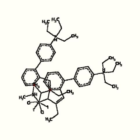 CCC1=Cc2c(-c3ccc([PH](CC)(CC)CC)cc3)cccc2[CH]1[Zr]([Cl])([Cl])([I])([I])([CH]1C(CC)=Cc2c(-c3ccc([PH](CC)(CC)CC)cc3)cccc21)[SiH](C)C